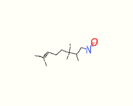 CC(C)=CCCC(C)(C)C(C)CN=O